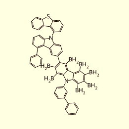 Bc1c(B)c(B)c2c(c1B)c1c(B)c(-c3ccc4c(c3)c3c(-c5ccccc5)cccc3n4-c3cccc4sc5ccccc5c34)c(B)c(B)c1n2-c1cccc(-c2ccccc2)c1